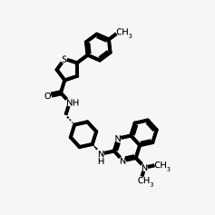 Cc1ccc(C2CC(C(=O)NC[C@H]3CC[C@@H](Nc4nc(N(C)C)c5ccccc5n4)CC3)CS2)cc1